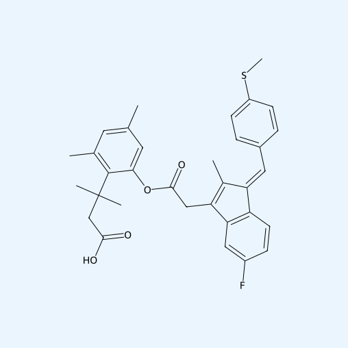 CSc1ccc(C=C2C(C)=C(CC(=O)Oc3cc(C)cc(C)c3C(C)(C)CC(=O)O)c3cc(F)ccc32)cc1